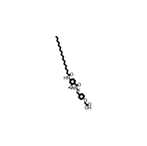 CCCCCCCCCCCCCCCCCC(=O)Nc1ccc(C(=O)N/N=C/c2ccc(OCC(=O)O)cc2)c(OC)c1